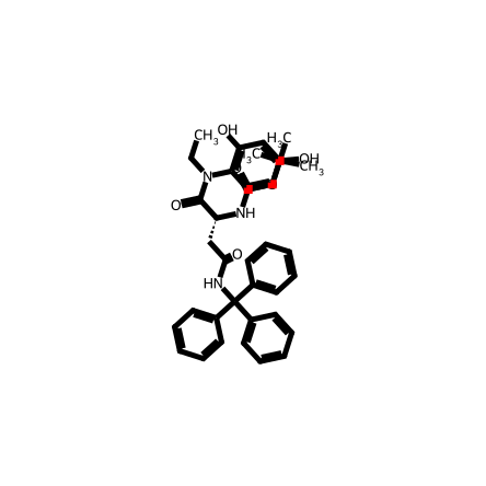 CCN(C(=O)[C@@H](CC(=O)NC(c1ccccc1)(c1ccccc1)c1ccccc1)NC(=O)OC(C)(C)C)c1ccc(O)cc1O